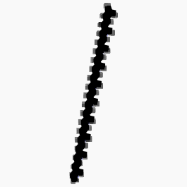 [CH2]/C=C(\C)CC/C=C(\C)CC/C=C(\C)CC/C=C(\C)CC/C=C(\C)CC/C=C(\C)CC/C=C(\C)CC/C=C(\C)CC/C=C(\C)CCC=C(C)C